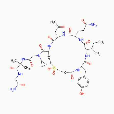 CC[C@H](C)[C@@H]1NC(=O)[C@H](Cc2ccc(O)cc2)NC(=O)CCS(=O)(=O)CC[C@@H](C(=O)N(CC(=O)NC(C)(C)C(=O)NCC(N)=O)C2CC2)NC(=O)[C@H](CC(C)=O)NC(=O)[C@H](CCC(N)=O)NC1=O